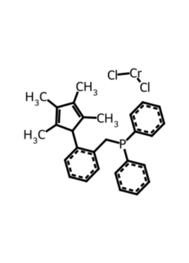 CC1=C(C)C(c2ccccc2CP(c2ccccc2)c2ccccc2)C(C)=C1C.[Cl][Cr][Cl]